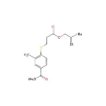 CCCCC(CC)COC(=O)CCSc1ccc(C(=O)OC)cc1C